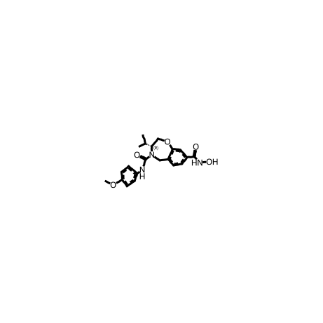 COc1ccc(NC(=O)N2Cc3ccc(C(=O)NO)cc3OC[C@H]2C(C)C)cc1